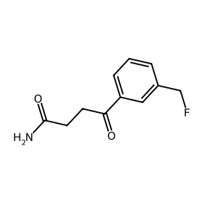 NC(=O)CCC(=O)c1cccc(CF)c1